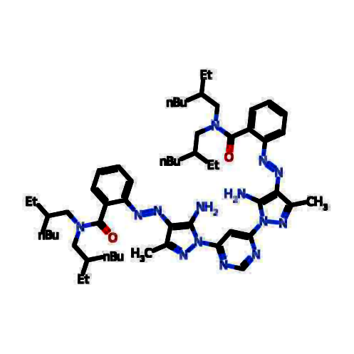 CCCCC(CC)CN(CC(CC)CCCC)C(=O)c1ccccc1/N=N/c1c(C)nn(-c2cc(-n3nc(C)c(/N=N/c4ccccc4C(=O)N(CC(CC)CCCC)CC(CC)CCCC)c3N)ncn2)c1N